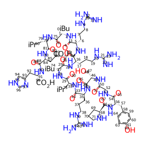 CC[C@H](C)[C@H](NC(=O)[C@H](CCCNC(=N)N)NC(=O)[C@H](CCCNC(=N)N)NC(=O)[C@@H](NC(=O)[C@@H](NC(=O)[C@H](CCCNC(=N)N)NC(=O)[C@H](CO)NC(=O)CNC(=O)[C@H](Cc1ccc(O)cc1)NC(=O)[C@@H]1CCCN1)C(C)C)[C@@H](C)CC)C(=O)N[C@@H](CC(C)C)C(=O)N[C@@H](CCC(=O)O)C(=O)N[C@@H](Cc1c[nH]cn1)C(=O)O